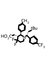 Cc1ccc([C@@H]2[C@@H](CC(=O)O)C(F)(F)CCN2[C@H](CCC(C)(C)C)c2ccc(C(F)(F)F)cc2)cc1